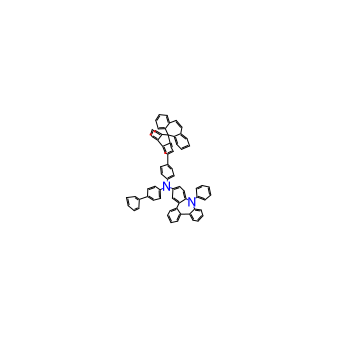 C1=Cc2ccccc2C2(c3ccccc31)c1ccccc1-c1cc(-c3ccc(N(c4ccc(-c5ccccc5)cc4)c4ccc5c(c4)-c4ccccc4-c4ccccc4N5c4ccccc4)cc3)ccc12